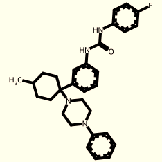 CC1CCC(c2cccc(NC(=O)Nc3ccc(F)cc3)c2)(N2CCN(c3ccccc3)CC2)CC1